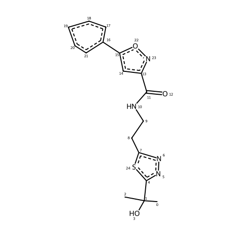 CC(C)(O)c1nnc(CCNC(=O)c2cc(-c3ccccc3)on2)s1